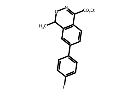 CCOC(=O)C1=NOC(C)c2cc(-c3ccc(F)cc3)ccc21